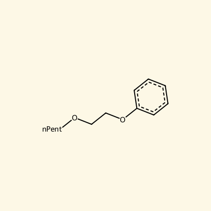 [CH2]CCCCOCCOc1ccccc1